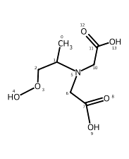 CC(COO)N(CC(=O)O)CC(=O)O